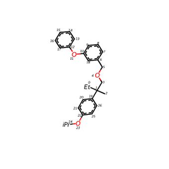 CCC(C)(COCc1cccc(Oc2ccccc2)c1)c1ccc(OC(C)C)cc1